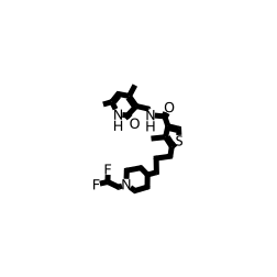 Cc1cc(C)c(CNC(=O)c2csc(CCCC3CCN(CC(F)F)CC3)c2C)c(=O)[nH]1